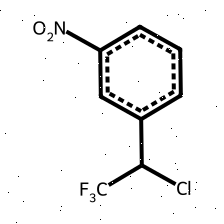 O=[N+]([O-])c1cccc(C(Cl)C(F)(F)F)c1